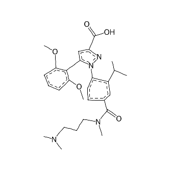 COc1cccc(OC)c1-c1cc(C(=O)O)nn1-c1ccc(C(=O)N(C)CCCN(C)C)cc1C(C)C